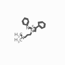 CN(C)CCCn1cc(-c2ccccc2)sc1=Nc1ccccc1